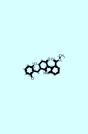 COC(=O)c1cccc2[nH]c3c(c12)C(=O)CCC3Cc1c(Cl)cccc1Cl